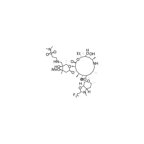 CC[C@H]1OC(=O)[C@H](C)[C@@H](O[C@H]2C[C@@](C)(OC)[C@](O)(CNCCS(=O)(=O)N(C)C)[C@H](C)O2)[C@H](C)[C@@H](O[C@@H]2O[C@H](C)C[C@H]3[C@H]2OC(C(F)(F)F)N3C)[C@](C)(O)C[C@@H](C)CN[C@H](C)[C@@H](O)[C@]1(C)O